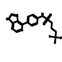 O=S(=O)(CCCC(F)(F)F)Nc1ccc(-c2ncnc3[nH]cnc23)cc1